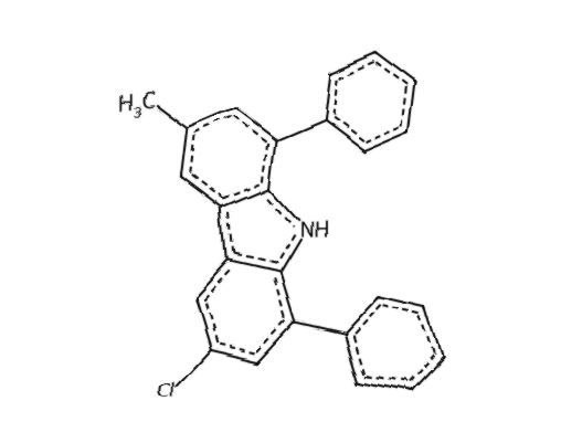 Cc1cc(-c2ccccc2)c2[nH]c3c(-c4ccccc4)cc(Cl)cc3c2c1